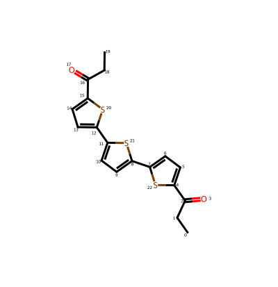 CCC(=O)c1ccc(-c2ccc(-c3ccc(C(=O)CC)s3)s2)s1